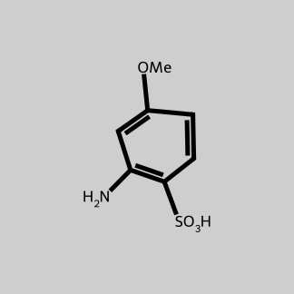 COc1ccc(S(=O)(=O)O)c(N)c1